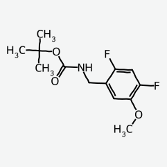 COc1cc(CNC(=O)OC(C)(C)C)c(F)cc1F